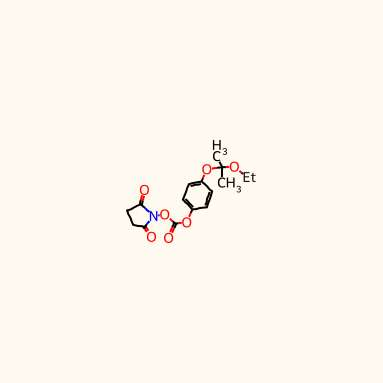 CCOC(C)(C)Oc1ccc(OC(=O)ON2C(=O)CCC2=O)cc1